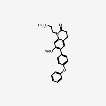 COc1cc2c(cc1-c1ccc(Oc3ccccc3)cc1)CCC(=O)N2CCC(=O)O